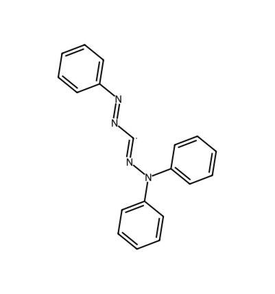 [C](=NN(c1ccccc1)c1ccccc1)N=Nc1ccccc1